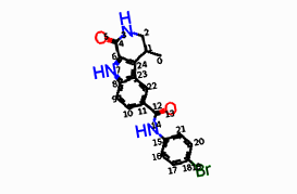 CC1CNC(=O)c2[nH]c3ccc(C(=O)Nc4ccc(Br)cc4)cc3c21